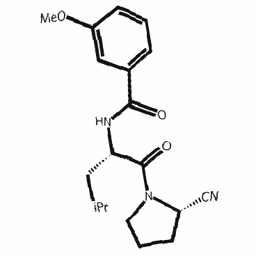 COc1cccc(C(=O)N[C@@H](CC(C)C)C(=O)N2CCC[C@H]2C#N)c1